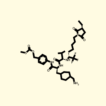 CC[C@H]1CC(=O)N(CCCCC[C@@H](N[C@H](C(=O)N[C@@H](CC2CCC(CN)CC2)C(=O)Nc2ccc(COC(=O)SC)cc2)C(C)C)C(F)(F)F)C1=O